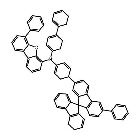 C1=CCCC(C2=CC=C(N(C3=CCC(c4ccc5c(c4)C4(C6=C(CCC=C6)c6ccccc64)c4ccc(-c6ccccc6)cc4-5)C=C3)c3cccc4c3oc3c(-c5ccccc5)cccc34)CC2)=C1